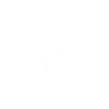 CCOC(=O)C(C)(C#N)c1ccc(CC(C)C)cc1